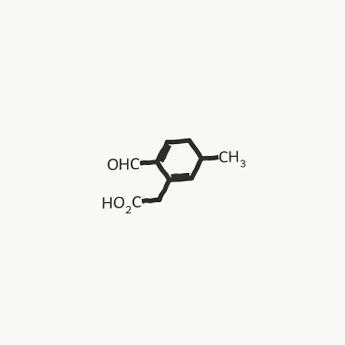 CC1C=C(CC(=O)O)C(C=O)=CC1